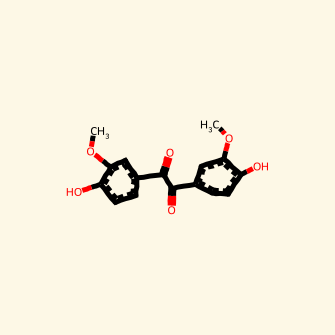 COc1cc(C(=O)C(=O)c2ccc(O)c(OC)c2)ccc1O